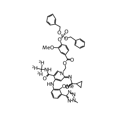 [2H]C([2H])([2H])NC(=O)c1cn(COC(=O)c2ccc(OP(=O)(OCc3ccccc3)OCc3ccccc3)c(OC)c2)c(=NC(=O)C2CC2)cc1Nc1cccc(-c2nnn(C)n2)c1OC